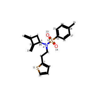 C=C1C[C@@H](N(CCc2cccs2)S(=O)(=O)c2ccc(C)cc2)C1=C